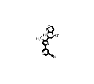 Cc1cc(-c2cncc(C#N)c2)sc1C1C[S+]([O-])C2CCON=C2N1